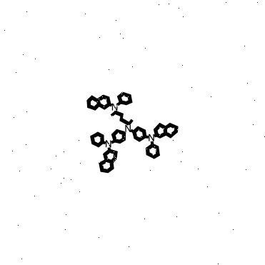 C/C(=C\C=C(/C)N(c1ccccc1)c1ccc2ccccc2c1)N(c1ccc(N(c2ccccc2)c2ccc3ccccc3c2)cc1)c1ccc(N(c2ccccc2)c2ccc3ccccc3c2)cc1